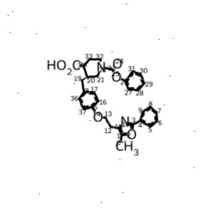 Cc1oc(-c2ccccc2)nc1CCOc1ccc(C[C@@H]2CN(C(=O)Oc3ccccc3)CC[C@@H]2C(=O)O)cc1